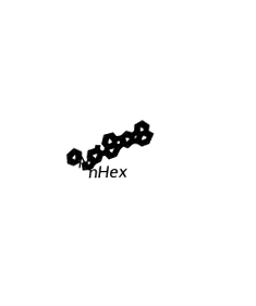 CCCCCCC1CN(c2ccccc2)c2cc(C)c(-c3ccc4c5cc6c(cc5c5cccc3c54)c3cccc4cccc6c43)cc21